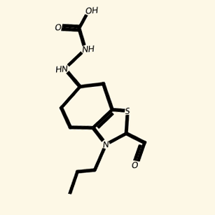 CCCN1C2=C(CC(NNC(=O)O)CC2)SC1C=O